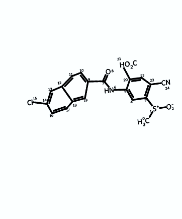 C[S+]([O-])c1cc(NC(=O)c2ccc3cc(Cl)ccc3c2)c(C(=O)O)cc1C#N